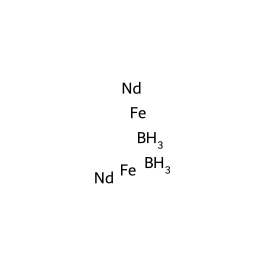 B.B.[Fe].[Fe].[Nd].[Nd]